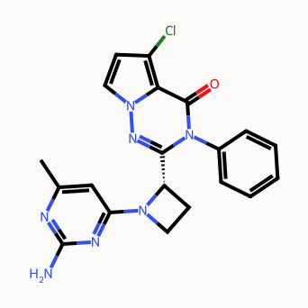 Cc1cc(N2CC[C@H]2c2nn3ccc(Cl)c3c(=O)n2-c2ccccc2)nc(N)n1